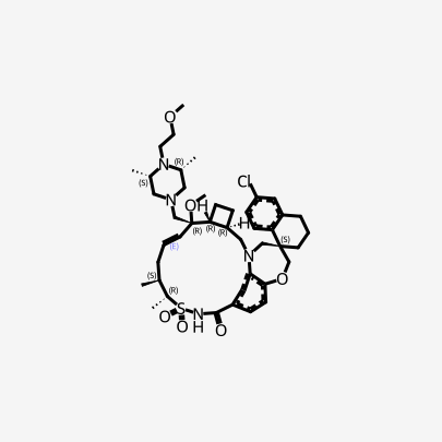 COCCN1[C@H](C)CN(C[C@]2(OC)/C=C/C[C@H](C)[C@@H](C)S(=O)(=O)NC(=O)c3ccc4c(c3)N(C[C@@H]3CC[C@H]32)C[C@@]2(CCCc3cc(Cl)ccc32)CO4)C[C@@H]1C